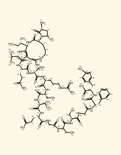 CC[C@H](C)[C@@H]1NC(=O)[C@@H](N2C(=O)[C@@H](N)CC2C)CCCNC(N)=NC(C)=C1N[C@H](C(=O)N[C@@H](CCC(N)=O)C(=O)N[C@@H](CS)C(=O)N[C@@H](CCCNC(=N)N)C(=O)N[C@@H](CO)C(=O)N[C@H](C(=O)N[C@@H](CCC(=O)O)C(=O)NCC(=O)NC(CO)C(=O)N[C@@H](CS)C(=O)NCC(=O)N[C@@H](Cc1ccccc1)C(=O)N[C@@H](Cc1ccc(O)cc1)C(=O)O)C(C)C)C(C)C